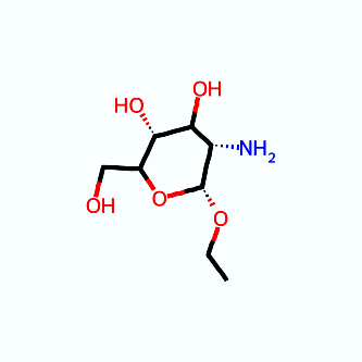 CCO[C@@H]1OC(CO)[C@H](O)C(O)[C@@H]1N